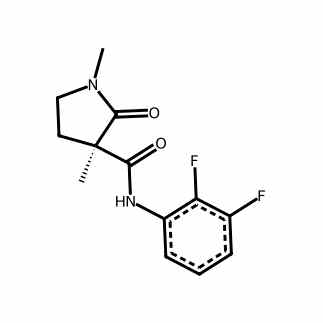 CN1CC[C@](C)(C(=O)Nc2cccc(F)c2F)C1=O